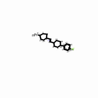 CCCC1CCC(/C=C/C2CCC(c3ccc(F)cc3)CC2)CC1